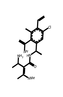 C=Cc1c(Cl)cc(C(C)NC(=O)/C(=C(/C)NC)C(C)N)c(C(=C)CCC)c1C